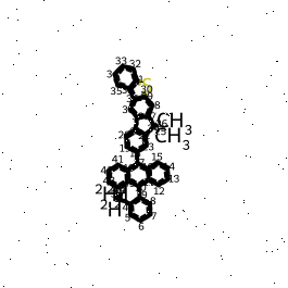 [2H]C([2H])([2H])c1ccccc1-c1c2ccccc2c(-c2ccc3c(c2)C(C)(C)c2cc4sc5ccccc5c4cc2-3)c2ccccc12